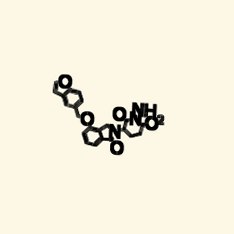 NN1C(=O)CCC(N2Cc3c(OCc4ccc5occc5c4)cccc3C2=O)C1=O